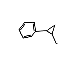 [CH2]C1CC1c1ccccc1